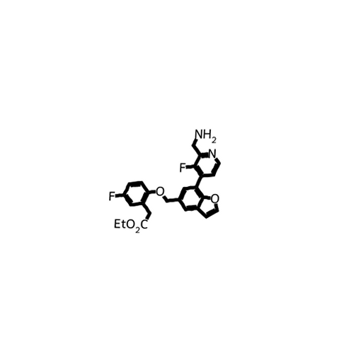 CCOC(=O)Cc1cc(F)ccc1OCc1cc(-c2ccnc(CN)c2F)c2occc2c1